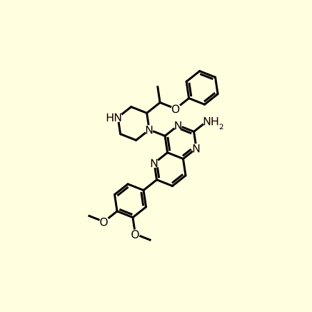 COc1ccc(-c2ccc3nc(N)nc(N4CCNCC4C(C)Oc4ccccc4)c3n2)cc1OC